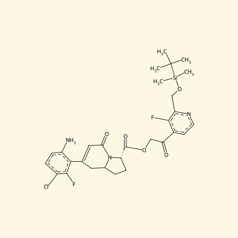 CC(C)(C)[Si](C)(C)OCc1nccc(C(=O)COC(=O)[C@@H]2CCC3CC(c4c(N)ccc(Cl)c4F)=CC(=O)N32)c1F